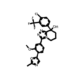 COc1cc(-c2nnc3n2CCCC3(O)c2ccc(Cl)c(C(F)(F)F)c2)ccc1-c1cnc(C)o1